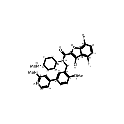 CNc1cc(-c2ccc(OC)c(CN(C(=O)c3sc4c(F)ccc(F)c4c3Cl)[C@H]3CC[C@H](NC)CC3)c2)ccn1